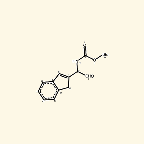 CC(C)(C)OC(=O)N[C](C=O)C1=Cc2ccccc2C1